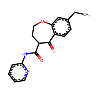 CCc1ccc2c(c1)OCCC(C(=O)Nc1ccccn1)C2=O